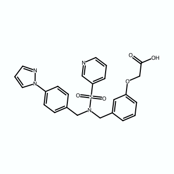 O=C(O)COc1cccc(CN(Cc2ccc(-n3cccn3)cc2)S(=O)(=O)c2cccnc2)c1